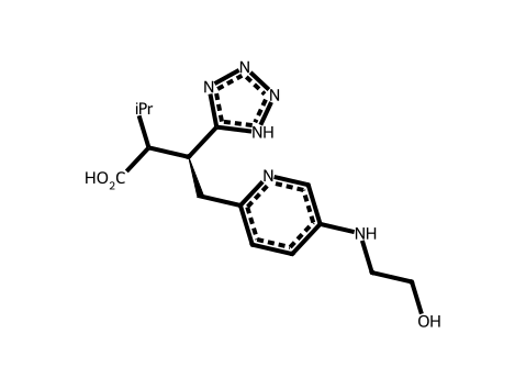 CC(C)C(C(=O)O)[C@H](Cc1ccc(NCCO)cn1)c1nnn[nH]1